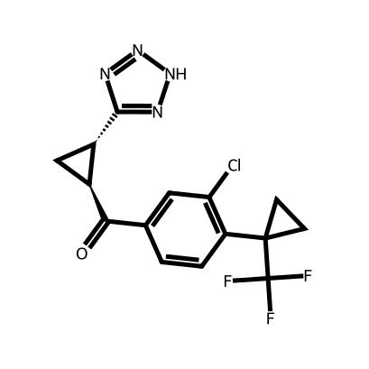 O=C(c1ccc(C2(C(F)(F)F)CC2)c(Cl)c1)[C@H]1C[C@@H]1c1nn[nH]n1